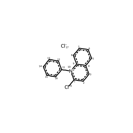 Clc1ccc2ccccc2[n+]1-c1ccccc1.[Cl-]